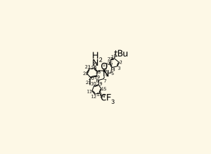 CC(C)(C)c1ccc(CN(CCc2cccc(C(F)(F)F)c2)C(=O)c2cc(I)ccc2N)cc1